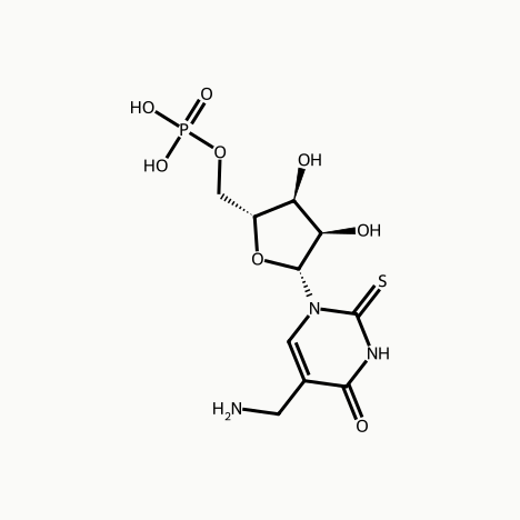 NCc1cn([C@@H]2O[C@H](COP(=O)(O)O)[C@@H](O)[C@H]2O)c(=S)[nH]c1=O